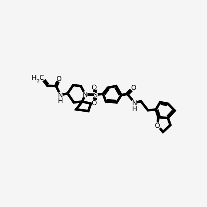 C=CC(=O)NC1CCN(S(=O)(=O)c2ccc(C(=O)NCCc3cccc4c3OCC4)cc2)C2(CCC2)C1